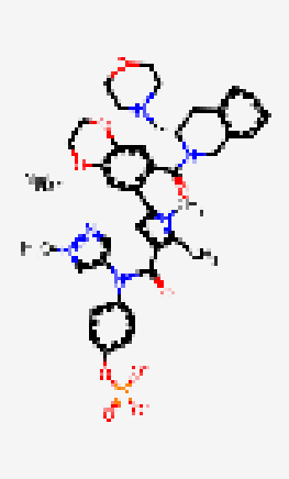 Cc1c(C(=O)N(c2ccc(OP(=O)([O-])[O-])cc2)c2cnn(C)c2)cc(-c2cc3c(cc2C(=O)N2Cc4ccccc4C[C@H]2CN2CCOCC2)OCCO3)n1C.[Na+].[Na+]